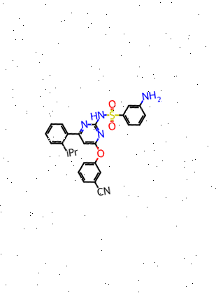 CC(C)c1ccccc1-c1cc(Oc2cccc(C#N)c2)nc(NS(=O)(=O)c2cccc(N)c2)n1